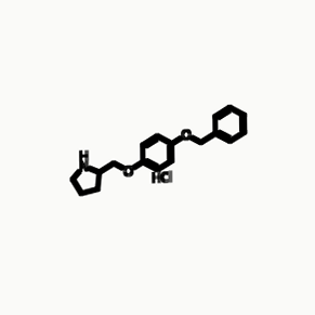 Cl.c1ccc(COc2ccc(OCC3CCCN3)cc2)cc1